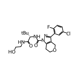 CC(C)(C)[C@H](NC(=O)n1nc(-c2cc(Cl)ccc2F)c2c1CCOC2)C(=O)NCCO